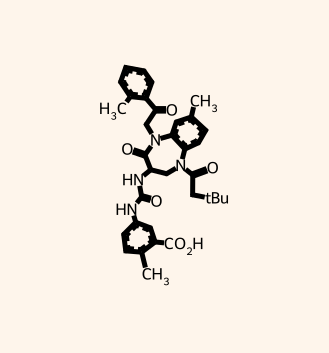 Cc1ccc2c(c1)N(CC(=O)c1ccccc1C)C(=O)C(NC(=O)Nc1ccc(C)c(C(=O)O)c1)CN2C(=O)CC(C)(C)C